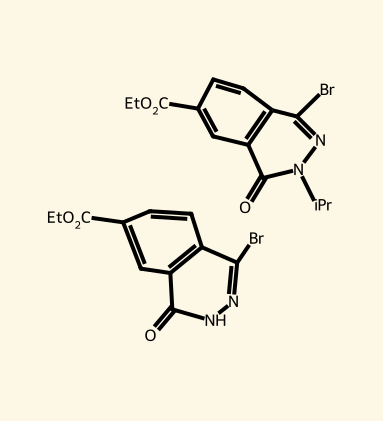 CCOC(=O)c1ccc2c(Br)n[nH]c(=O)c2c1.CCOC(=O)c1ccc2c(Br)nn(C(C)C)c(=O)c2c1